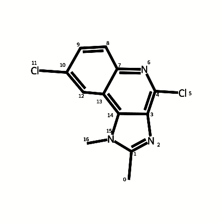 Cc1nc2c(Cl)nc3ccc(Cl)cc3c2n1C